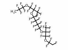 CC(F)(F)C(F)(F)OC(F)(F)C(F)(OC(F)(F)C(F)(F)C(F)(F)C(F)(F)OC(F)(C(F)(F)F)C(F)(F)OC(F)(F)CF)C(F)(F)F